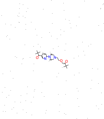 C[C@@H]1CN(CCOCC(=O)C(C)(C)C)C[C@H](C)N1c1ccc(C(=O)C(C)(C)C)cn1